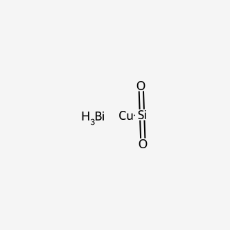 O=[Si]=O.[BiH3].[Cu]